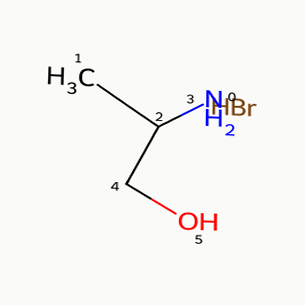 Br.CC(N)CO